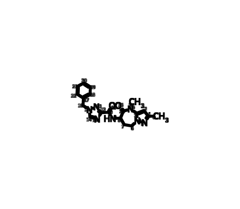 Cc1cc2n(n1)CCC(NC(=O)c1ncn(Cc3ccccc3)n1)C(=O)N2C